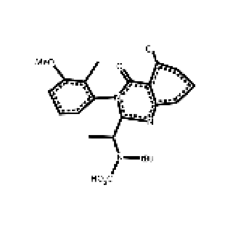 COc1cccc(-n2c(C(C)N(C(=O)O)C(C)(C)C)nc3cccc(Cl)c3c2=O)c1C